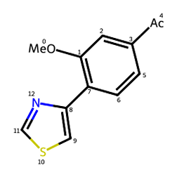 COc1cc(C(C)=O)ccc1-c1cscn1